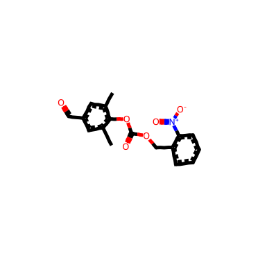 Cc1cc(C=O)cc(C)c1OC(=O)OCc1ccccc1[N+](=O)[O-]